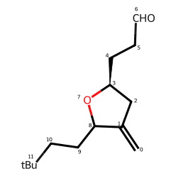 C=C1C[C@H](CCC=O)OC1CCC(C)(C)C